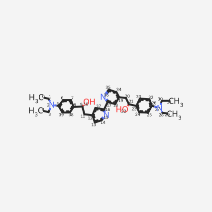 CCN(CC)c1ccc(C(O)Cc2ccnc(-c3cc(CC(O)c4ccc(N(CC)CC)cc4)ccn3)c2)cc1